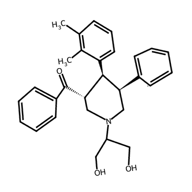 Cc1cccc([C@@H]2[C@@H](C(=O)c3ccccc3)CN(C(CO)CO)C[C@@H]2c2[c]cccc2)c1C